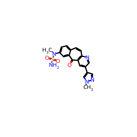 CN(c1ccc2ccc3ncc(-c4cnn(C)c4)cc3c(=O)c2c1)S(N)(=O)=O